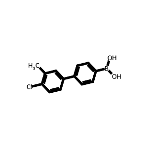 Cc1cc(-c2ccc(B(O)O)cc2)ccc1Cl